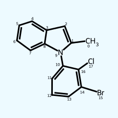 Cc1cc2ccccc2n1-c1cccc(Br)c1Cl